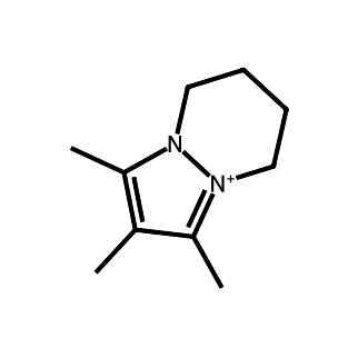 Cc1c(C)n2[n+](c1C)CCCC2